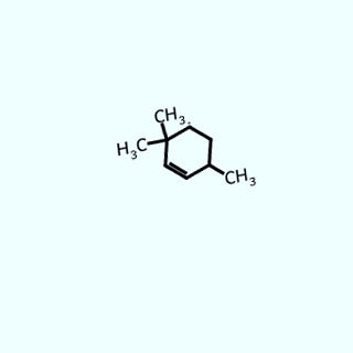 CC1C=CC(C)(C)[CH]C1